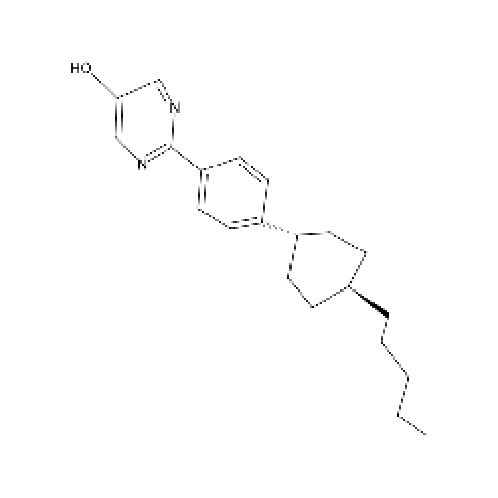 CCCCC[C@H]1CC[C@H](c2ccc(-c3ncc(O)cn3)cc2)CC1